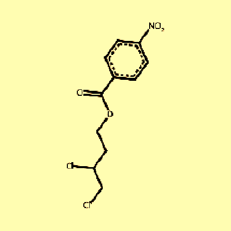 O=C(OCCC(Cl)CCl)c1ccc([N+](=O)[O-])cc1